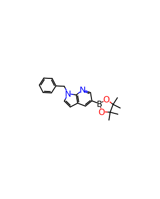 CC1(C)OB(c2cnc3c(ccn3Cc3ccccc3)c2)OC1(C)C